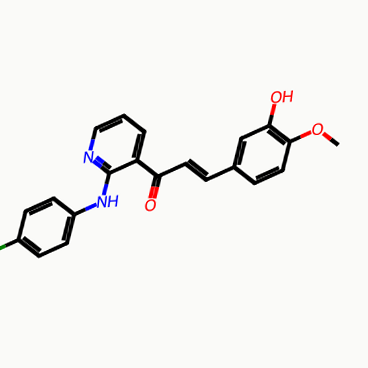 COc1ccc(/C=C/C(=O)c2cccnc2Nc2ccc(Cl)cc2)cc1O